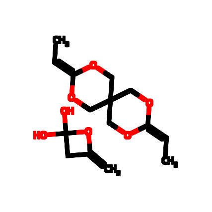 C=C1CC(O)(O)O1.CC=C1OCC2(CO1)COC(=CC)OC2